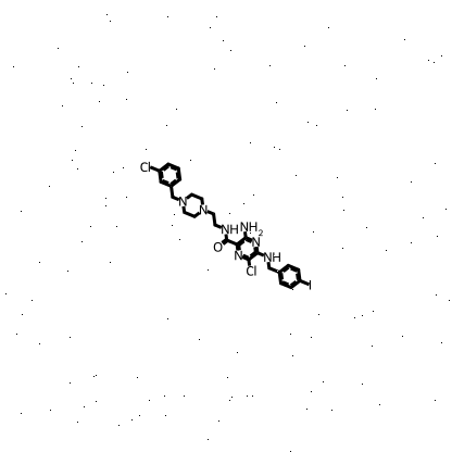 Nc1nc(NCc2ccc(I)cc2)c(Cl)nc1C(=O)NCCN1CCN(Cc2cccc(Cl)c2)CC1